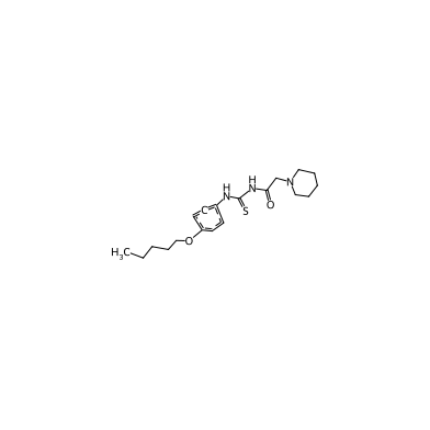 CCCCCOc1ccc(NC(=S)NC(=O)CN2CCCCC2)cc1